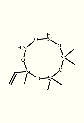 C=C[Si]1(C)O[SiH2]O[SiH2]O[Si](C)(C)O[Si](C)(C)O1